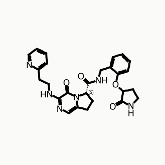 O=C1NCCC1Oc1ccccc1CNC(=O)[C@@H]1CCc2cnc(NCCc3ccccn3)c(=O)n21